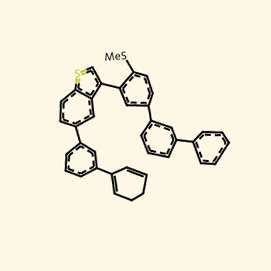 CSc1ccc(-c2cccc(-c3ccccc3)c2)cc1-c1csc2ccc(-c3cccc(C4=CCCC=C4)c3)cc12